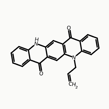 C=CCn1c2ccccc2c(=O)c2cc3[nH]c4ccccc4c(=O)c3cc21